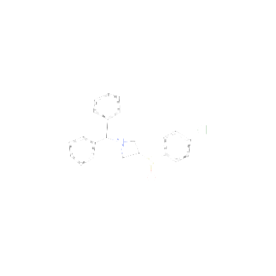 [O-][S+](c1ccc(Cl)cc1)C1CN(C(c2ccccc2)c2ccccc2)C1